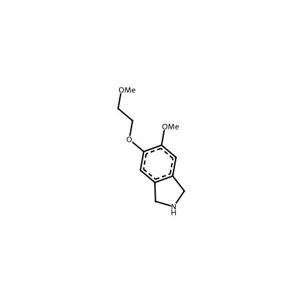 COCCOc1cc2c(cc1OC)CNC2